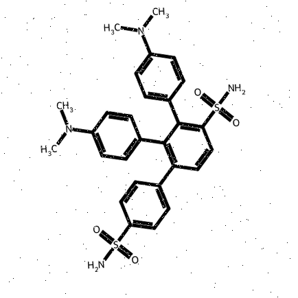 CN(C)c1ccc(-c2c(-c3ccc(S(N)(=O)=O)cc3)ccc(S(N)(=O)=O)c2-c2ccc(N(C)C)cc2)cc1